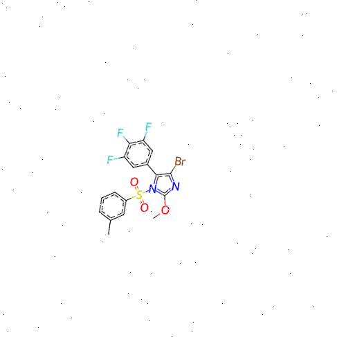 COc1nc(Br)c(-c2cc(F)c(F)c(F)c2)n1S(=O)(=O)c1cccc(C)c1